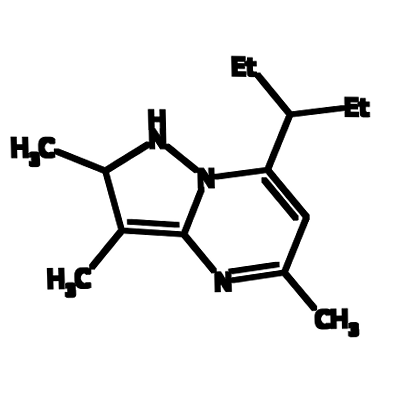 CCC(CC)C1=CC(C)=NC2=C(C)C(C)NN12